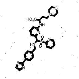 O=C(O)C(CCN1CCOCC1)Nc1cccc(C(NCc2ccc(-c3nccs3)cc2)S(=O)(=O)c2ccccn2)n1